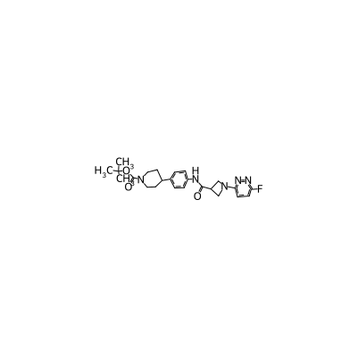 CC(C)(C)OC(=O)N1CCC(c2ccc(NC(=O)C3CN(c4ccc(F)nn4)C3)cc2)CC1